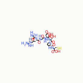 N=C(N)NCCC[C@H](NC(=O)CN)C(=O)NCC(=O)N[C@@H](CC(=O)O)C(=O)N[C@@H](CO)C(=O)N1CCC[C@H]1C(=O)N[C@@H](CS)C(=O)O